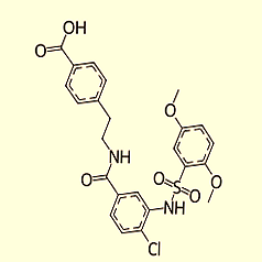 COc1ccc(OC)c(S(=O)(=O)Nc2cc(C(=O)NCCc3ccc(C(=O)O)cc3)ccc2Cl)c1